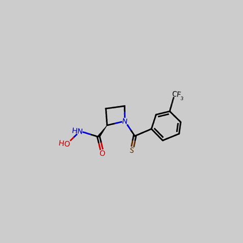 O=C(NO)[C@H]1CCN1C(=S)c1cccc(C(F)(F)F)c1